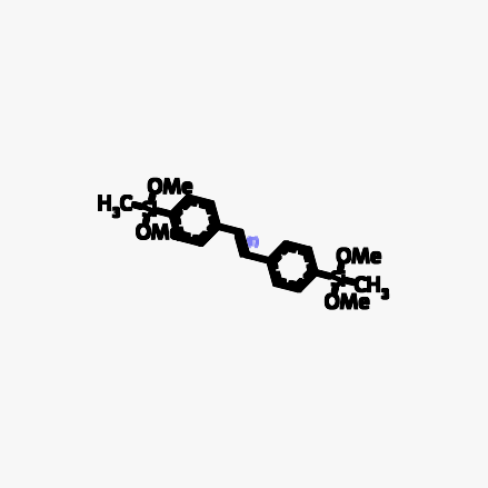 CO[Si](C)(OC)c1ccc(/C=C/c2ccc([Si](C)(OC)OC)cc2)cc1